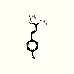 COC(C)/C=C/c1ccc(Br)cc1